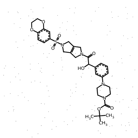 CC(C)(C)OC(=O)N1CCN(c2cccc(C(O)C(=O)N3CC4=C(C3)CN(S(=O)(=O)c3ccc5c(c3)OCCO5)C4)c2)CC1